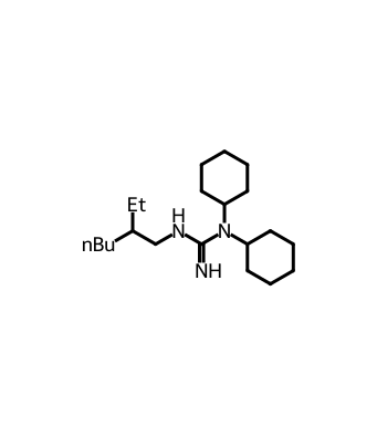 CCCCC(CC)CNC(=N)N(C1CCCCC1)C1CCCCC1